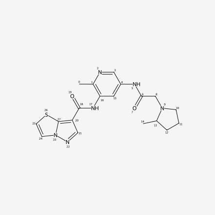 Cc1ncc(NC(=O)CN2CCCC2C)cc1NC(=O)c1cnn2ccsc12